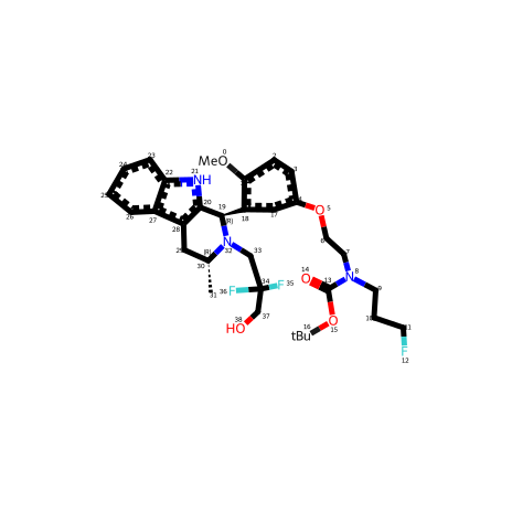 COc1ccc(OCCN(CCCF)C(=O)OC(C)(C)C)cc1[C@@H]1c2[nH]c3ccccc3c2C[C@@H](C)N1CC(F)(F)CO